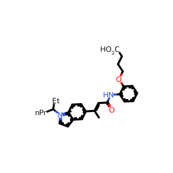 CCCC(CC)n1ccc2cc(C(C)=CC(=O)Nc3ccccc3OCCCC(=O)O)ccc21